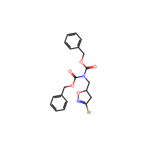 O=C(OCc1ccccc1)N(CC1CC(Br)=NO1)C(=O)OCc1ccccc1